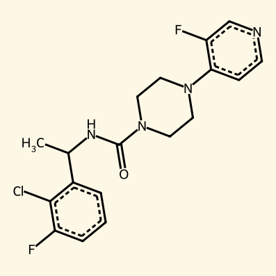 CC(NC(=O)N1CCN(c2ccncc2F)CC1)c1cccc(F)c1Cl